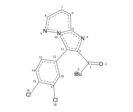 CCC(C)C(=O)c1nc2cccnn2c1-c1ccc(Cl)c(Cl)c1